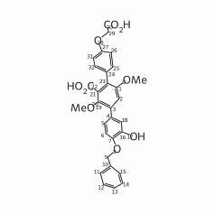 COc1cc(-c2ccc(OCc3ccccc3)c(O)c2)c(OC)c(C(=O)O)c1-c1ccc(OCC(=O)O)cc1